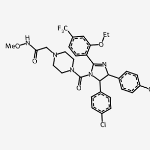 CCOc1cc(C(F)(F)F)ccc1C1=NC(c2ccc(Cl)cc2)C(c2ccc(Cl)cc2)N1C(=O)N1CCN(CC(=O)NOC)CC1